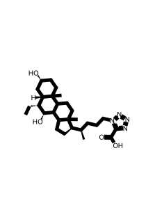 CC[C@H]1[C@@H](O)C2C3CC[C@H]([C@H](C)CCCn4nnnc4C(=O)O)C3(C)CCC2C2(C)CC[C@@H](O)C[C@@H]12